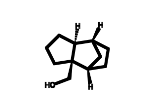 OC[C@@]12CCC[C@H]1[C@@H]1CC[C@H]2C1